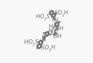 Cc1cc(Nc2nc(O)nc(Nc3cc(C)c(/N=N/c4cc(S(=O)(=O)O)c5cccc(S(=O)(=O)O)c5c4)cc3C)n2)c(C)cc1/N=N/c1cc(S(=O)(=O)O)c2cccc(S(=O)(=O)O)c2c1